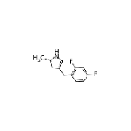 Cc1cc(Cc2ccc(F)cc2F)c[nH]1